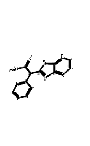 CNC(=S)C(c1ccccc1)c1nc2cccnc2s1